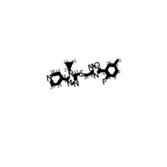 Cc1ccc(F)c(-c2nc(CSc3nnc(-c4ccncc4)n3C3CC3)no2)c1